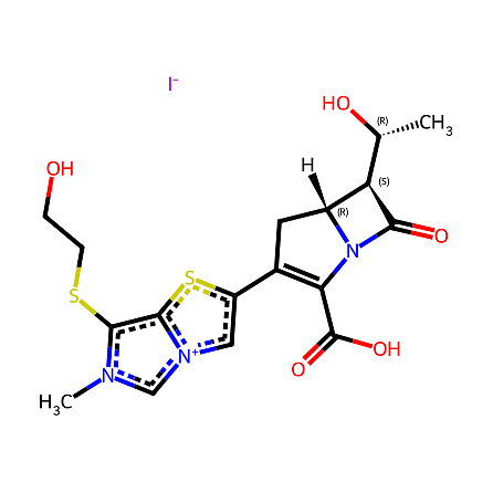 C[C@@H](O)[C@H]1C(=O)N2C(C(=O)O)=C(c3c[n+]4cn(C)c(SCCO)c4s3)C[C@H]12.[I-]